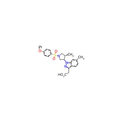 Cc1ccc2c(CC(=O)O)nn([C@H]3CN(S(=O)(=O)c4ccc(OC(C)C)cc4)C[C@H]3C)c2c1